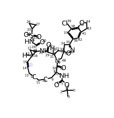 CC(C)(C)OC(=O)N[C@H]1CCCCC/C=C\[C@@H]2C[C@@]2(C(=O)NS(=O)(=O)C2CC2)NC(=O)[C@@H]2C[C@]3(CC(c4cc(Cl)c5c(c4)CCO5)=NO3)CN2C1=O